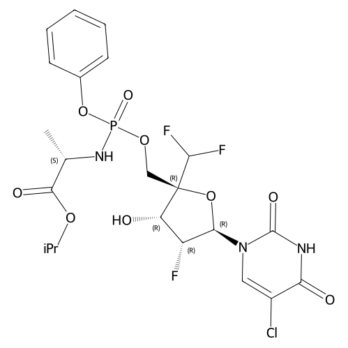 CC(C)OC(=O)[C@H](C)NP(=O)(OC[C@@]1(C(F)F)O[C@@H](n2cc(Cl)c(=O)[nH]c2=O)[C@H](F)[C@@H]1O)Oc1ccccc1